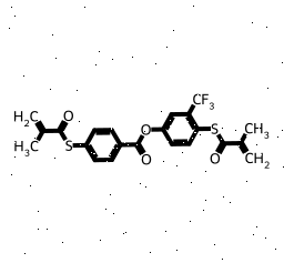 C=C(C)C(=O)Sc1ccc(C(=O)Oc2ccc(SC(=O)C(=C)C)c(C(F)(F)F)c2)cc1